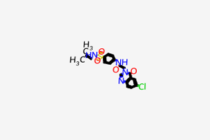 CC(C)CNS(=O)(=O)c1ccc(NC(=O)Cn2cnc3ccc(Cl)cc3c2=O)cc1